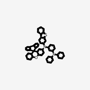 c1ccc(N(c2ccccc2)c2cccc(N(c3ccc4c(c3)C3(c5ccccc5O4)c4ccccc4-c4ccccc43)c3ccc4c(c3)sc3ccccc34)c2)cc1